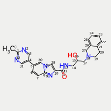 Cc1ncc(-c2ccc3nc(C(=O)NCC(O)CN4CCc5ccccc5C4)cn3c2)cn1